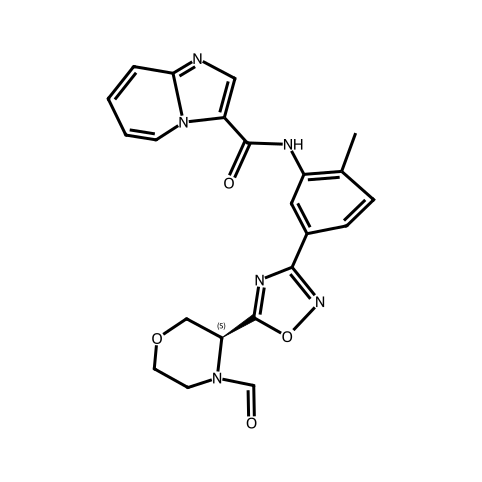 Cc1ccc(-c2noc([C@@H]3COCCN3C=O)n2)cc1NC(=O)c1cnc2ccccn12